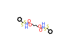 O=C(NSC(=S)c1ccccc1)OCCCCOC(=O)NSC(=S)c1ccccc1